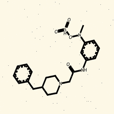 CN(O[SH](=O)=O)c1cccc(NC(=O)CN2CCC(Cc3ccccc3)CC2)c1